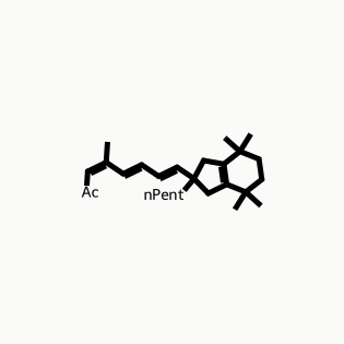 CCCCCC1(/C=C/C=C/C(C)=C\C(C)=O)CC2=C(C1)C(C)(C)CCC2(C)C